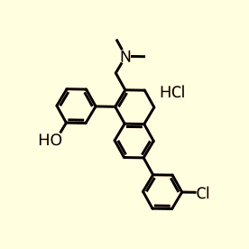 CN(C)CC1=C(c2cccc(O)c2)c2ccc(-c3cccc(Cl)c3)cc2CC1.Cl